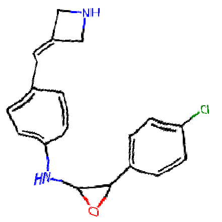 Clc1ccc(C2OC2Nc2ccc(C=C3CNC3)cc2)cc1